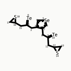 [Te]=C(Cc1c[se]cc1CC(=[Te])CC1CS1)CC1CS1